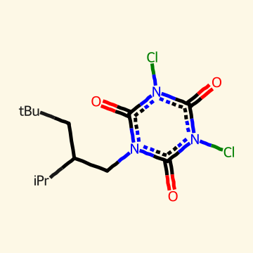 CC(C)C(Cn1c(=O)n(Cl)c(=O)n(Cl)c1=O)CC(C)(C)C